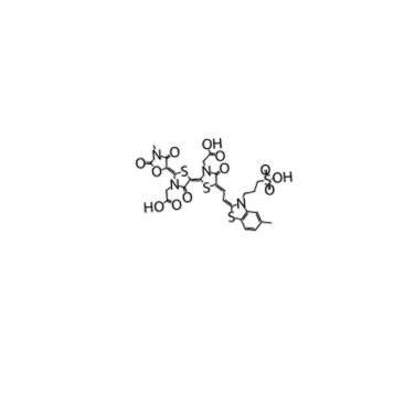 Cc1ccc2c(c1)N(CCCS(=O)(=O)O)C(=CC=c1s/c(=c3/s/c(=C4/OC(=O)N(C)C4=O)n(CC(=O)O)c3=O)n(CC(=O)O)c1=O)S2